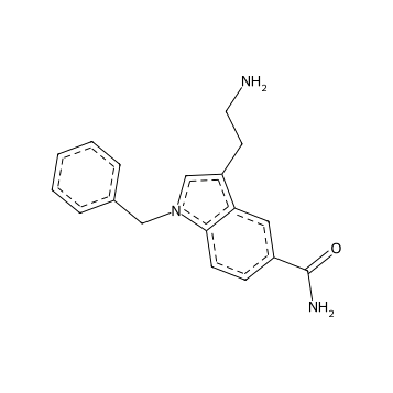 NCCc1cn(Cc2ccccc2)c2ccc(C(N)=O)cc12